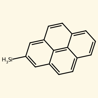 [SiH3]c1cc2ccc3cccc4ccc(c1)c2c34